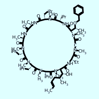 C/C=C/C[C@@H](C)[C@@H](O)[C@@H]1C(=O)N[C@@H](CC)C(=O)N(C)CC(=O)N(C)[C@@H]([C@@H](C)OCc2ccccc2)C(=O)N[C@@H](C(C)C)C(=O)N(C)[C@@H](CC(C)C)C(=O)N[C@@H](C)C(=O)N[C@H](C)C(=O)N(C)[C@@H](CC(C)C)C(=O)N(C)[C@@H](CC(C)C)C(=O)N(C)[C@@H](C(C)C)C(=O)N1C